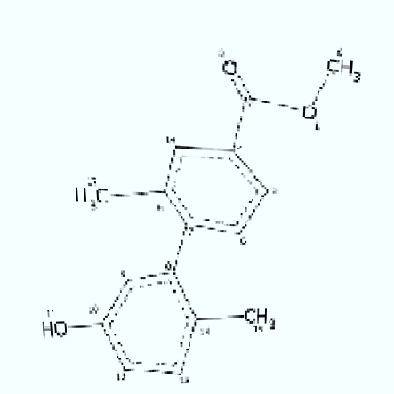 COC(=O)c1ccc(-c2cc(O)ccc2C)c(C)c1